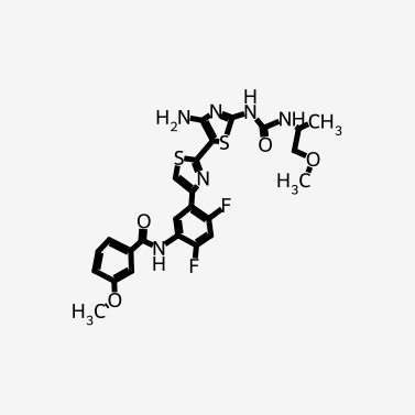 COCC(C)NC(=O)Nc1nc(N)c(-c2nc(-c3cc(NC(=O)c4cccc(OC)c4)c(F)cc3F)cs2)s1